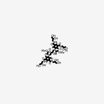 COCC(=O)N(CC(O)C(O)CN(C(=O)COC)c1c(I)c(C(=O)NCC(O)CO)c(I)c(C(=O)NCC(O)CO)c1I)c1c(I)c(C(=O)NCC(O)CO)c(I)c(C(=O)NCC(O)CO)c1I